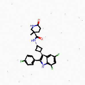 CC1(C(=O)N[C@H]2C[C@H](c3c(-c4ccc(F)cc4)[nH]c4c(F)cc(F)cc43)C2)CCC(=O)NC1